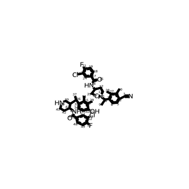 Cc1c(C#N)ccc(C(C)N2CCC(NC(=O)c3ccc(F)c(Cl)c3)CC2)c1C.Cc1c(O)ccc(C(C)C2CNCCC2NC(=O)c2ccc(F)c(Cl)c2)c1C